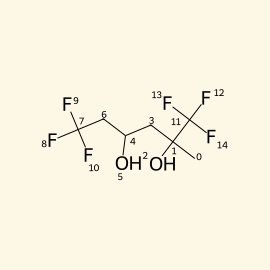 CC(O)(CC(O)CC(F)(F)F)C(F)(F)F